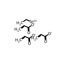 C=CC(=O)[O-].C=CC(=O)[O-].C=CC(=O)[O-].C[CH2][Sn+3]